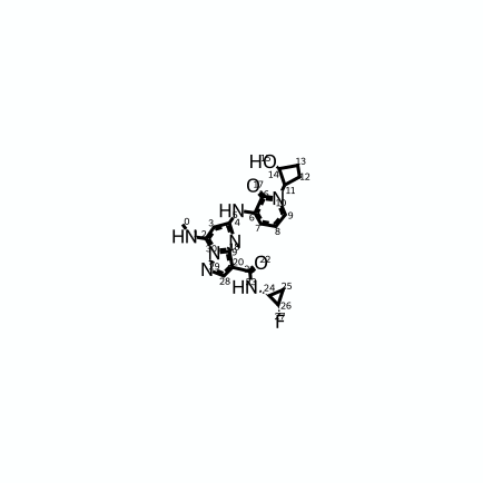 CNc1cc(Nc2cccn(C3CC[C@@H]3O)c2=O)nc2c(C(=O)N[C@@H]3C[C@@H]3F)cnn12